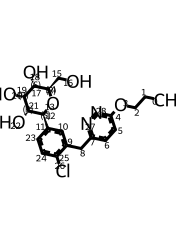 CCCOc1ccc(Cc2cc([C@@H]3O[C@H](CO)[C@@H](O)[C@H](O)[C@H]3O)ccc2Cl)nn1